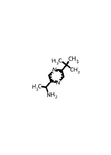 CC(N)c1cnc(C(C)(C)C)cn1